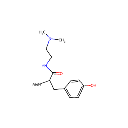 CNC(Cc1ccc(O)cc1)C(=O)NCCN(C)C